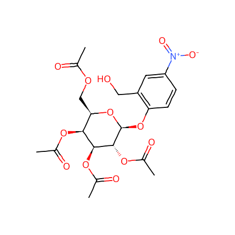 CC(=O)OC[C@H]1O[C@@H](Oc2ccc([N+](=O)[O-])cc2CO)[C@H](OC(C)=O)[C@@H](OC(C)=O)[C@H]1OC(C)=O